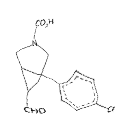 O=CC1C2CN(C(=O)O)CC12c1ccc(Cl)cc1